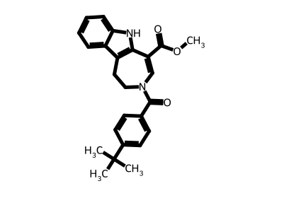 COC(=O)C1=CN(C(=O)c2ccc(C(C)(C)C)cc2)CCc2c1[nH]c1ccccc21